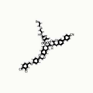 COC(=O)C(Cc1ccc(-c2ccc(C#N)cc2)cc1)NC(=O)C1Cc2cc3c(cc2CN1S(=O)(=O)c1sc(NCCOCCBr)nc1C)OC(c1ccc(OCc2ccc(Cl)c(Cl)c2)cc1)CO3